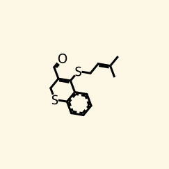 CC(C)=CCSC1=C(C=O)CSc2ccccc21